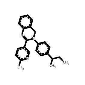 CCC(C)c1ccc(N2Cc3ccccc3N=C2c2ccc(C)nc2)cc1